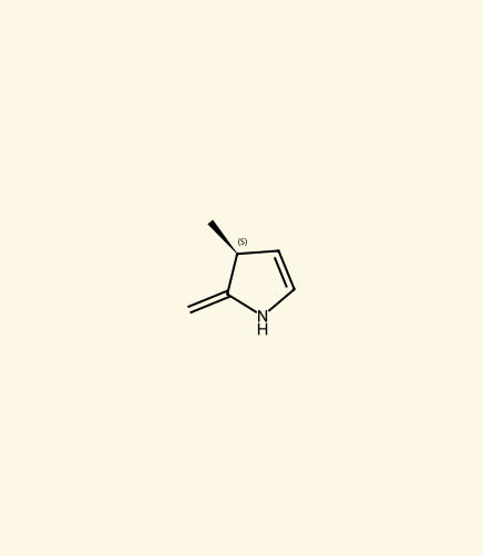 C=C1NC=C[C@@H]1C